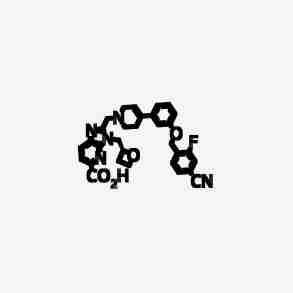 N#Cc1ccc(COc2cccc(C3=CCN(Cc4nc5ccc(C(=O)O)nc5n4C[C@@H]4CCO4)CC3)c2)c(F)c1